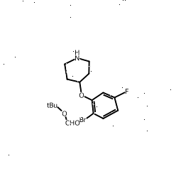 CC(C)(C)OC=O.Fc1ccc(Br)c(OC2CCNCC2)c1